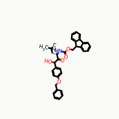 CC(C)C[C@H](NC(=O)OCC1c2ccccc2-c2ccccc21)C(=O)C(O)c1ccc(OCc2ccccc2)cc1